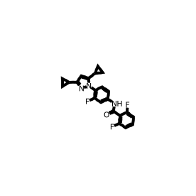 O=C(Nc1ccc(-n2nc(C3CC3)cc2C2CC2)c(F)c1)c1c(F)cccc1F